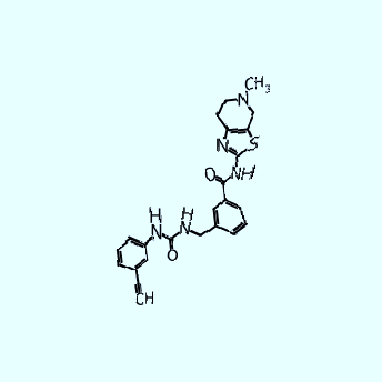 C#Cc1cccc(NC(=O)NCc2cccc(C(=O)Nc3nc4c(s3)CN(C)CC4)c2)c1